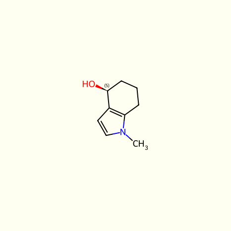 Cn1ccc2c1CCC[C@@H]2O